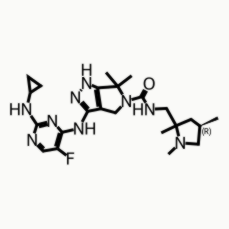 C[C@H]1CN(C)C(C)(CNC(=O)N2Cc3c(Nc4nc(NC5CC5)ncc4F)n[nH]c3C2(C)C)C1